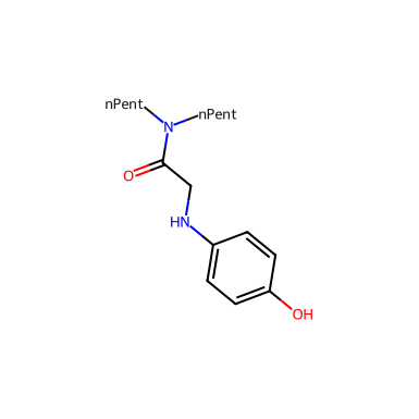 CCCCCN(CCCCC)C(=O)CNc1ccc(O)cc1